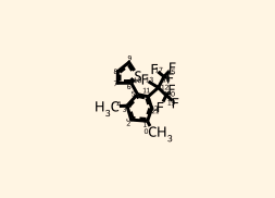 Cc1[c]c(C)c(-c2cccs2)c(C(F)(C(F)(F)F)C(F)(F)F)c1